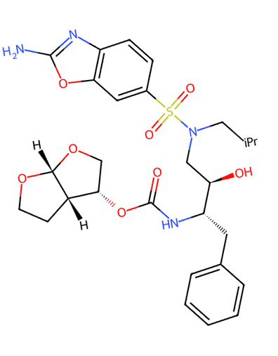 CC(C)CN(C[C@@H](O)[C@H](Cc1ccccc1)NC(=O)O[C@H]1CO[C@H]2OCC[C@H]21)S(=O)(=O)c1ccc2nc(N)oc2c1